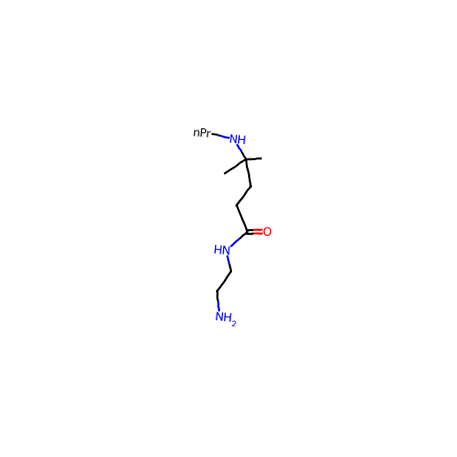 CCCNC(C)(C)CCC(=O)NCCN